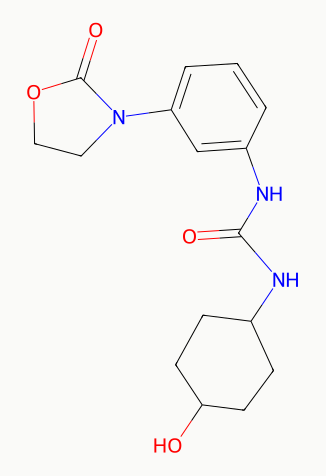 O=C(Nc1cccc(N2CCOC2=O)c1)NC1CCC(O)CC1